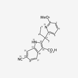 COc1cccc(C(C)(CI)c2[nH]c3cc(C#N)ccc3c2C(=O)O)n1